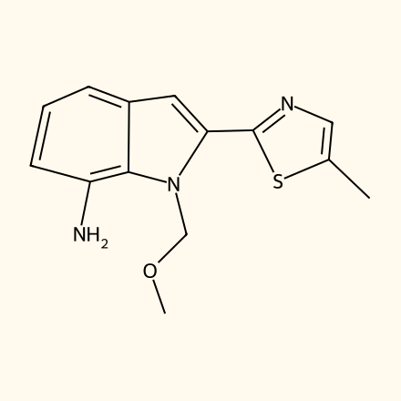 COCn1c(-c2ncc(C)s2)cc2cccc(N)c21